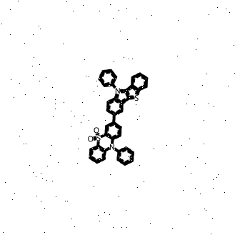 O=S1(=O)c2ccccc2N(c2ccccc2)c2ccc(-c3ccc4c(c3)c3sc5ccccc5c3n4-c3ccccc3)cc21